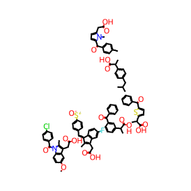 CC(C(=O)O)c1ccc(C(=O)c2ccccc2)s1.CC(C(=O)O)c1cccc(C(=O)c2ccccc2)c1.CC(C)Cc1ccc(C(C)C(=O)O)cc1.CC1=C(CC(=O)O)c2cc(F)ccc2/C1=C\c1ccc([S+](C)[O-])cc1.COc1ccc2c(c1)c(CC(=O)O)c(C)n2C(=O)c1ccc(Cl)cc1.Cc1ccc(C(=O)c2ccc(CC(=O)O)n2C)cc1